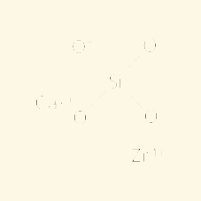 [Ca+2].[O-][Si]([O-])([O-])[O-].[Zr+4]